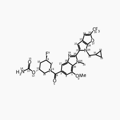 COc1cc(C(=O)N2C[C@H](F)C[C@@H](OC(N)=O)C2)cc2nc(-c3cc4cc(C(F)(F)F)oc4n3CC3CC3)n(C)c12